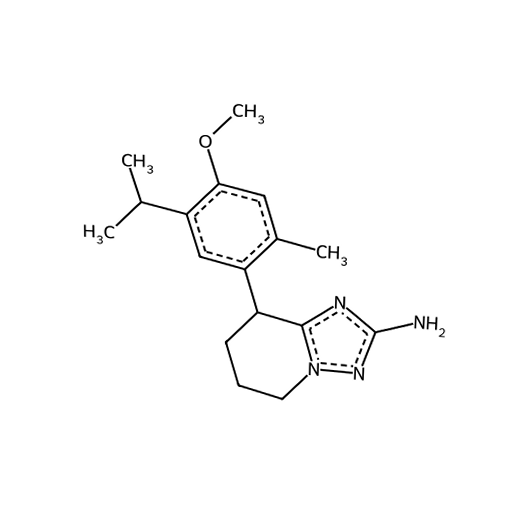 COc1cc(C)c(C2CCCn3nc(N)nc32)cc1C(C)C